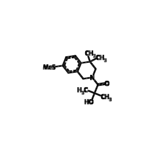 CSc1ccc2c(c1)CN(C(=O)C(C)(C)O)CC2(C)C